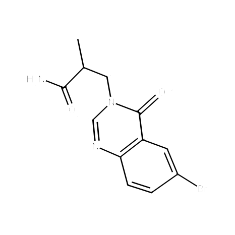 CC(Cn1cnc2ccc(Br)cc2c1=O)C(N)=O